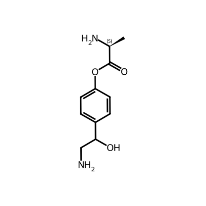 C[C@H](N)C(=O)Oc1ccc(C(O)CN)cc1